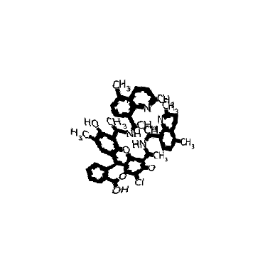 Cc1ccc2c(C)ccc(C(C)NC(C)c3c4oc5c(C(C)NC(C)c6ccc(C)c7ccc(C)nc67)c(O)c(C)cc5c(-c5ccccc5C(=O)O)c-4cc(Cl)c3=O)c2n1